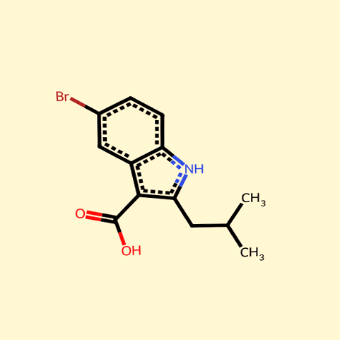 CC(C)Cc1[nH]c2ccc(Br)cc2c1C(=O)O